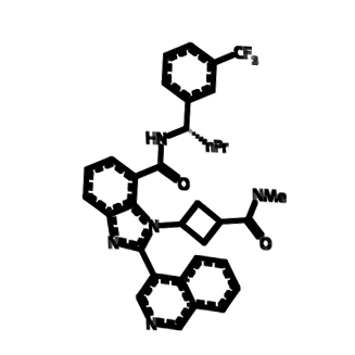 CCC[C@H](NC(=O)c1cccc2nc(-c3cncc4ccccc34)n(C3CC(C(=O)NC)C3)c12)c1cccc(C(F)(F)F)c1